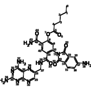 CCCCCC(=O)Oc1cc(N2C(=O)c3ccc(N)cc3C2=O)c(C(=O)NCc2cnc3nc(N)nc(N)c3n2)cc1C(N)=O